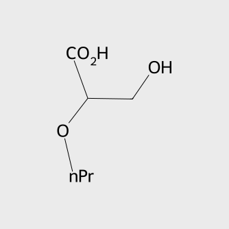 CCCOC(CO)C(=O)O